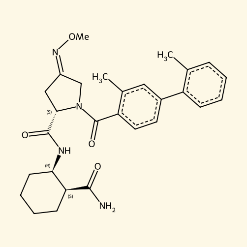 CON=C1C[C@@H](C(=O)N[C@@H]2CCCC[C@@H]2C(N)=O)N(C(=O)c2ccc(-c3ccccc3C)cc2C)C1